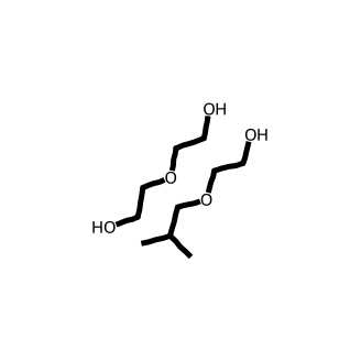 CC(C)COCCO.OCCOCCO